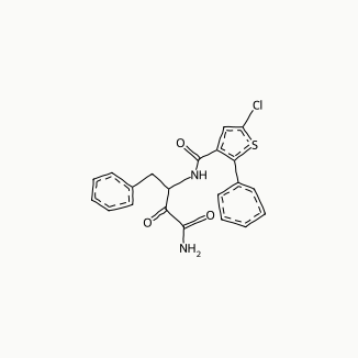 NC(=O)C(=O)C(Cc1ccccc1)NC(=O)c1cc(Cl)sc1-c1ccccc1